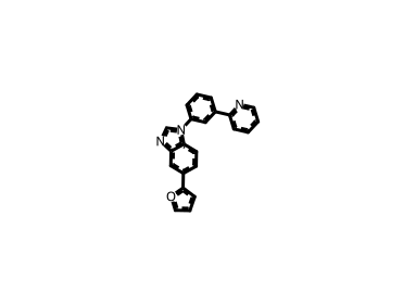 c1ccc(-c2cccc(-n3cnc4cc(-c5ccco5)ccc43)c2)nc1